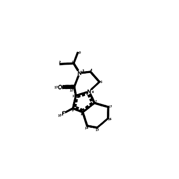 CC(C)N1CCn2c3c(c(F)c2C1=O)CCCC3